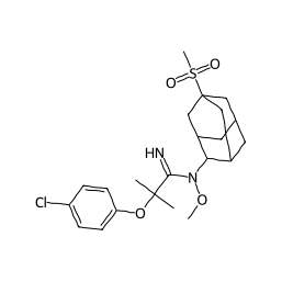 CON(C(=N)C(C)(C)Oc1ccc(Cl)cc1)C1C2CC3CC1CC(S(C)(=O)=O)(C3)C2